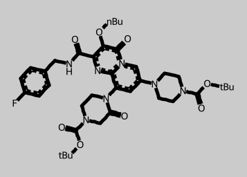 CCCCOc1c(C(=O)NCc2ccc(F)cc2)nc2c(N3CCN(C(=O)OC(C)(C)C)CC3=O)cc(N3CCN(C(=O)OC(C)(C)C)CC3)cn2c1=O